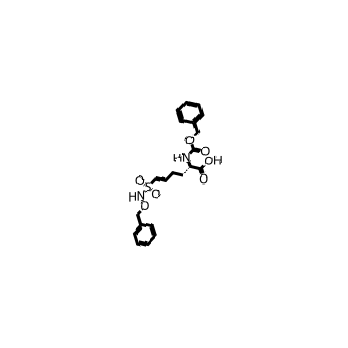 O=C(N[C@@H](CC/C=C/S(=O)(=O)NOCc1ccccc1)C(=O)O)OCc1ccccc1